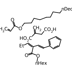 C=C(CC(=O)O)C(=O)O.C=CC(=O)OCCCCCCCCCCCCCCCCCC.CCC=C(C=Cc1ccccc1)C(=O)OCCCCCC